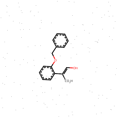 O=C(O)C(=CO)c1ccccc1OCc1ccccc1